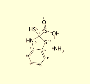 N.O=S(O)C1(S)Nc2ccccc2S1